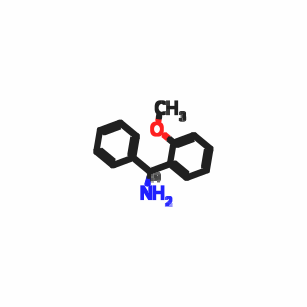 COc1ccccc1[C@@H](N)c1ccccc1